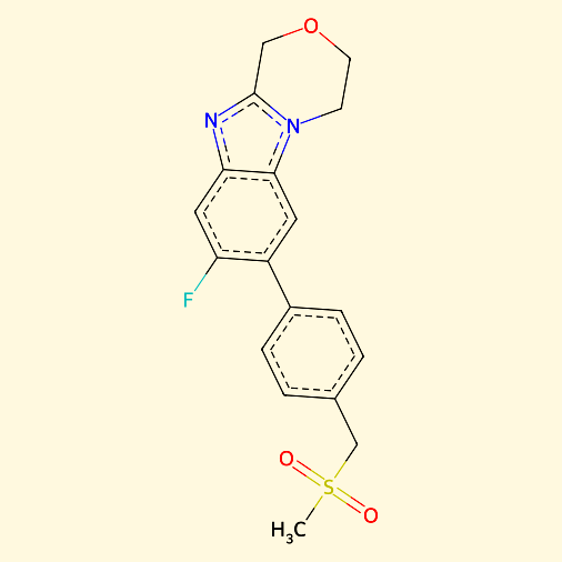 CS(=O)(=O)Cc1ccc(-c2cc3c(cc2F)nc2n3CCOC2)cc1